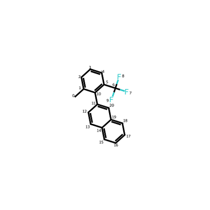 Cc1cc[c]c(C(F)(F)F)c1-c1ccc2ccccc2c1